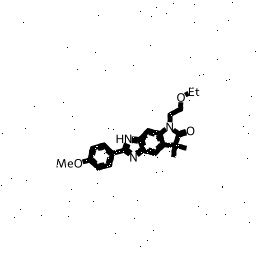 CCOCCN1C(=O)C(C)(C)c2cc3nc(-c4ccc(OC)cc4)[nH]c3cc21